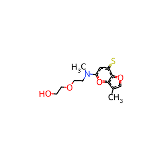 Cc1coc2c(=S)cc(N(C)CCOCCO)oc12